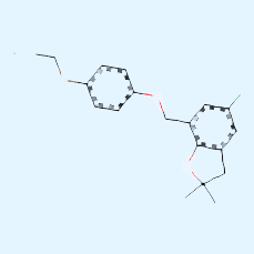 CC1(C)Cc2cc(F)cc(COc3ccc(SCC(=O)O)cc3)c2O1